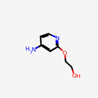 Nc1ccnc(OCCO)c1